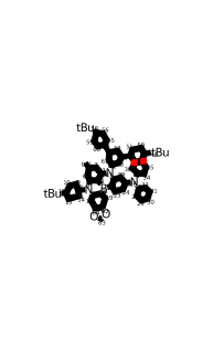 Cc1cc2c3c(c1)N(c1ccc(C(C)(C)C)cc1)c1cc4c(cc1B3c1ccc(N(c3ccccc3)c3ccccc3)cc1N2c1cc(-c2ccc(C(C)(C)C)cc2)cc(-c2ccc(C(C)(C)C)cc2)c1)OCO4